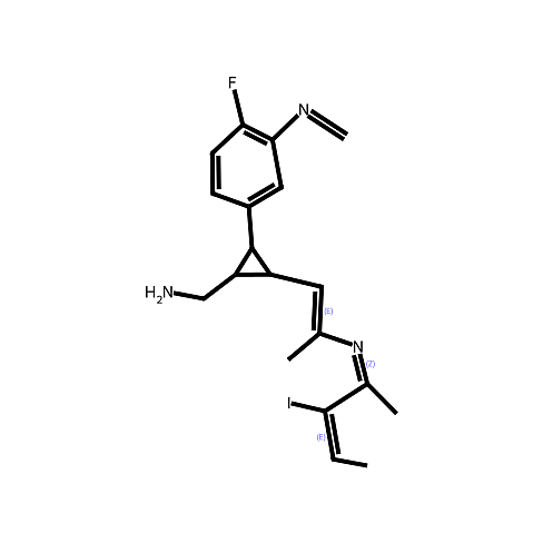 C=Nc1cc(C2C(/C=C(C)/N=C(C)\C(I)=C/C)C2CN)ccc1F